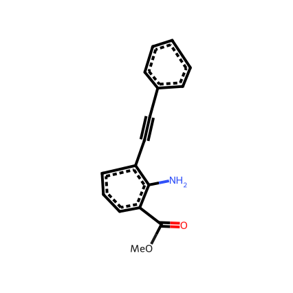 COC(=O)c1cccc(C#Cc2ccccc2)c1N